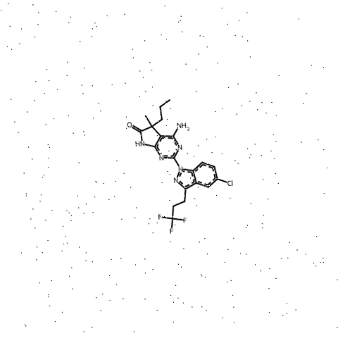 CCCC1(C)C(=O)Nc2nc(-n3nc(CCC(F)(F)F)c4cc(Cl)ccc43)nc(N)c21